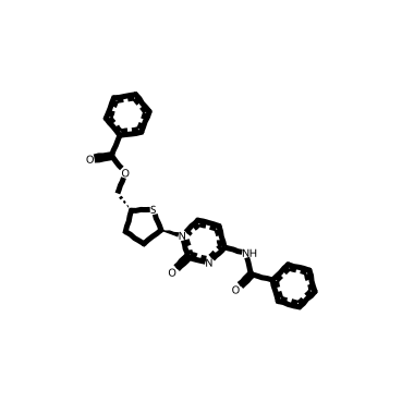 O=C(Nc1ccn([C@H]2CC[C@H](COC(=O)c3ccccc3)S2)c(=O)n1)c1ccccc1